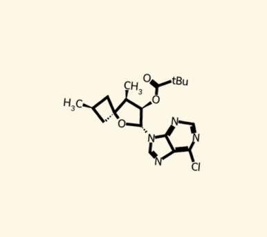 C[C@H]1[C@@H](OC(=O)C(C)(C)C)[C@H](n2cnc3c(Cl)ncnc32)O[C@]12C[C@@H](C)C2